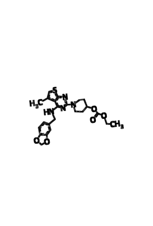 CCOC(=O)OC1CCN(c2nc(NCc3ccc4c(c3)OCO4)c3c(C)csc3n2)CC1